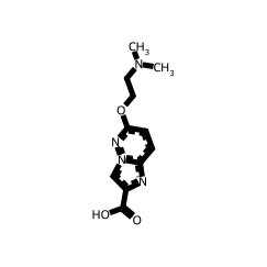 CN(C)CCOc1ccc2nc(C(=O)O)cn2n1